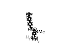 COc1cc(C(=O)N(C)C)ccc1C(=O)NCCc1ccc(-c2ccc(C(=O)OC(C)(C)C)cc2)cc1